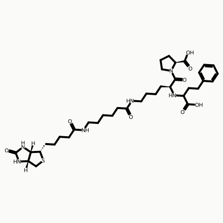 O=C(CCCCCNC(=O)CCCC[C@@H]1SC[C@@H]2NC(=O)N[C@@H]21)NCCCC[C@H](NC(CCc1ccccc1)C(=O)O)C(=O)N1CCC[C@H]1C(=O)O